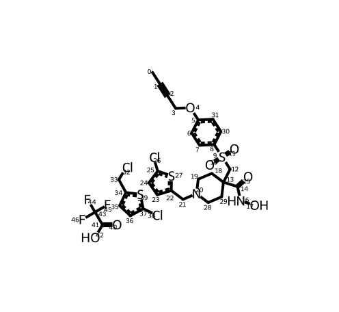 CC#CCOc1ccc(S(=O)(=O)CC2(C(=O)NO)CCN(Cc3ccc(Cl)s3)CC2)cc1.ClCc1ccc(Cl)s1.O=C(O)C(F)(F)F